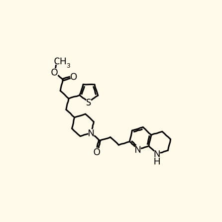 COC(=O)CC(CC1CCN(C(=O)CCc2ccc3c(n2)NCCC3)CC1)c1cccs1